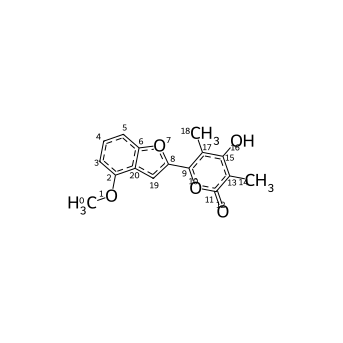 COc1cccc2oc(-c3oc(=O)c(C)c(O)c3C)cc12